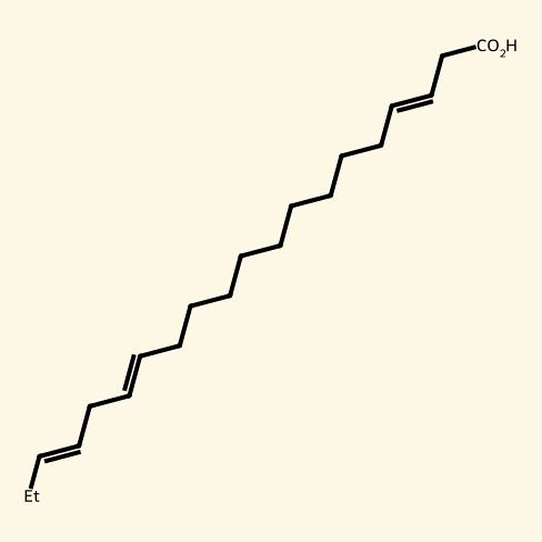 CCC=CCC=CCCCCCCCCCC=CCC(=O)O